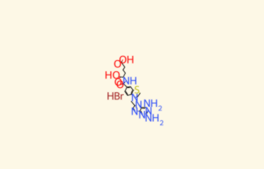 Br.Nc1nc(N)c2nc(CN3CCSc4cc(C(=O)NC(CCCC(=O)O)C(=O)O)ccc43)cnc2n1